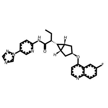 CCC(C(=O)Nc1ccc(-n2cncn2)cn1)[C@@H]1[C@@H]2C[C@@H](Oc3ccnc4ccc(F)cc34)C[C@@H]21